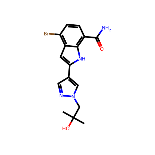 CC(C)(O)Cn1cc(-c2cc3c(Br)ccc(C(N)=O)c3[nH]2)cn1